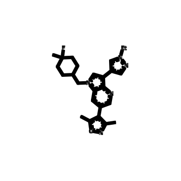 CCn1cc(-c2cn(CC3CCC(C)(F)CC3)c3cc(-c4c(C)noc4C)cnc23)cn1